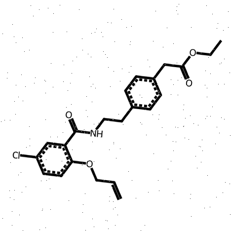 C=CCOc1ccc(Cl)cc1C(=O)NCCc1ccc(CC(=O)OCC)cc1